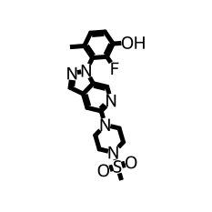 Cc1ccc(O)c(F)c1-n1ncc2cc(N3CCN(S(C)(=O)=O)CC3)ncc21